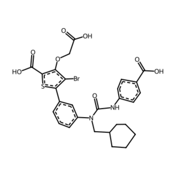 O=C(O)COc1c(C(=O)O)sc(-c2cccc(N(CC3CCCCC3)C(=O)Nc3ccc(C(=O)O)cc3)c2)c1Br